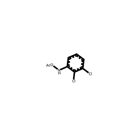 CC(=O)ONc1cccc(Cl)c1Cl